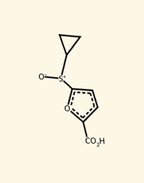 O=C(O)c1ccc([S+]([O-])C2CC2)o1